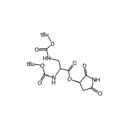 CC(C)(C)OC(=O)NCC(NC(=O)OC(C)(C)C)C(=O)OC1CC(=O)NC1=O